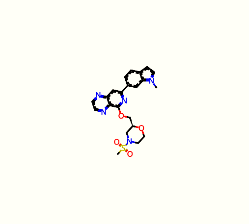 Cn1ccc2ccc(-c3cc4nccnc4c(OC[C@@H]4CN(S(C)(=O)=O)CCO4)n3)cc21